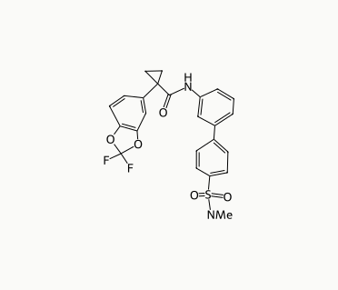 CNS(=O)(=O)c1ccc(-c2cccc(NC(=O)C3(c4ccc5c(c4)OC(F)(F)O5)CC3)c2)cc1